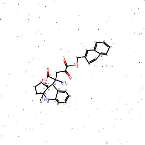 NC(CC(=O)C(=O)OCc1ccc2ccccc2c1)(C(=O)O)C1c2ccccc2N[C@@H]2CCC[C@H]12